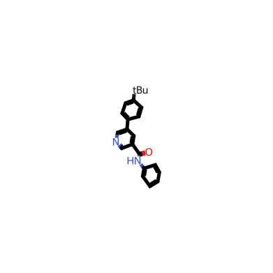 CC(C)(C)c1ccc(-c2cncc(C(=O)Nc3ccccc3)c2)cc1